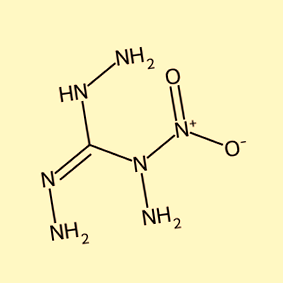 NN=C(NN)N(N)[N+](=O)[O-]